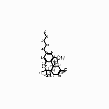 CCCCCc1cc(O)c2c(c1)OC(C)(C)[C@@H]1CC=C(F)C[C@@H]21